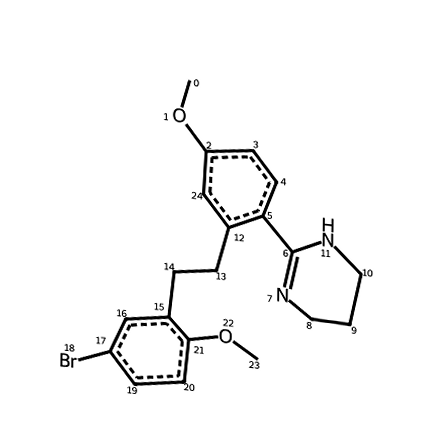 COc1ccc(C2=NCCCN2)c(CCc2cc(Br)ccc2OC)c1